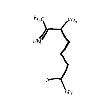 CCCC(I)CCCC(C)C(C)=N